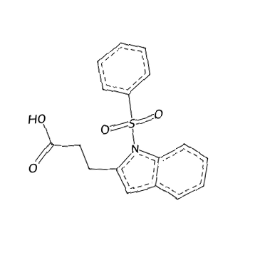 O=C(O)CCc1cc2ccccc2n1S(=O)(=O)c1ccccc1